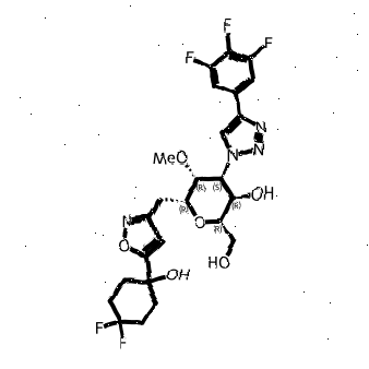 CO[C@@H]1[C@@H](n2cc(-c3cc(F)c(F)c(F)c3)nn2)[C@@H](O)[C@@H](CO)O[C@@H]1Cc1cc(C2(O)CCC(F)(F)CC2)on1